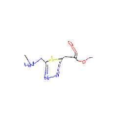 CNc1nnc(C(=O)OC)s1